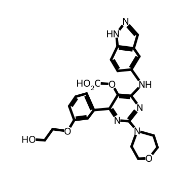 O=C(O)Oc1c(Nc2ccc3[nH]ncc3c2)nc(N2CCOCC2)nc1-c1cccc(OCCO)c1